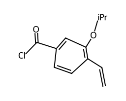 C=Cc1ccc(C(=O)Cl)cc1OC(C)C